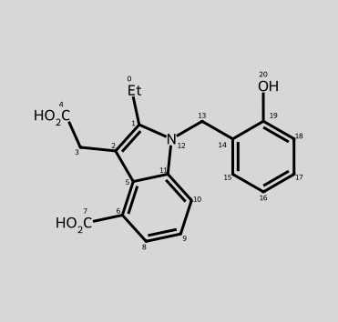 CCc1c(CC(=O)O)c2c(C(=O)O)cccc2n1Cc1ccccc1O